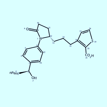 CCCCC[C@H](O)c1ccc(N2C(=O)CC[C@@H]2CCCc2ccsc2C(=O)O)cc1